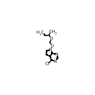 C=CC(C)OCOn1ccc2c(Cl)ncnc21